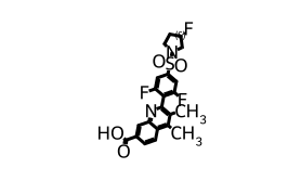 Cc1c(-c2c(F)cc(S(=O)(=O)N3CC[C@H](F)C3)cc2F)nc2cc(C(=O)O)ccc2c1C